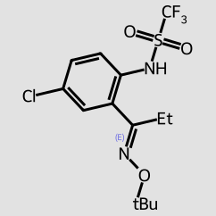 CC/C(=N\OC(C)(C)C)c1cc(Cl)ccc1NS(=O)(=O)C(F)(F)F